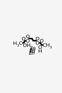 CC(O)C(=O)OC(=O)CCC(=O)OC(=O)C(C)O.[Zn].[Zn].[Zn].[Zn]